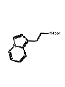 CCCCCCCCCc1ccn2ccccc12